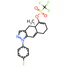 C[C@@]12Cc3cnn(-c4ccc(F)cc4)c3C=C1CCC=C2OS(=O)(=O)C(F)(F)F